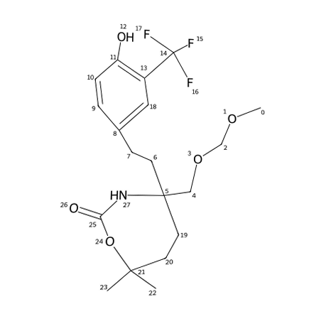 COCOCC1(CCc2ccc(O)c(C(F)(F)F)c2)CCC(C)(C)OC(=O)N1